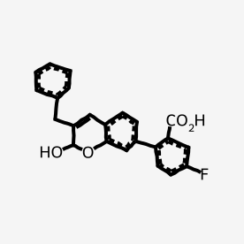 O=C(O)c1cc(F)ccc1-c1ccc2c(c1)OC(O)C(Cc1ccccc1)=C2